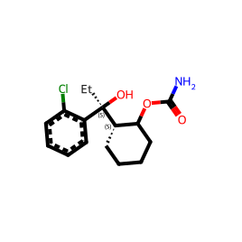 CC[C@@](O)(c1ccccc1Cl)[C@H]1CCCCC1OC(N)=O